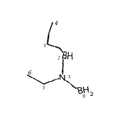 BN(BCC)CC